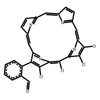 O=Cc1ccccc1C1=C(Cl)C2=C(Cl)C3=NC(=CC4=NC(=CC5=NC(=CC1=N2)C=C5)C=C4)C(Cl)=C3Cl